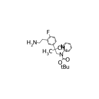 CC(C)(C)OC(=O)N(CC(C)(C)c1ccc(F)c(CCN)c1)c1ccccn1